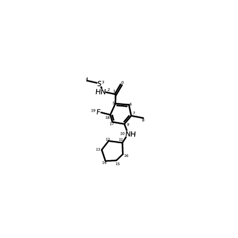 C=C(NSC)c1cc(C)c(NC2CCCCC2)cc1F